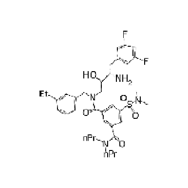 CCCN(CCC)C(=O)c1cc(C(=O)N(Cc2cccc(CC)c2)C[C@@H](O)[C@@H](N)Cc2cc(F)cc(F)c2)cc(S(=O)(=O)N(C)C)c1